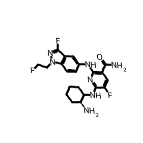 NC(=O)c1cc(F)c(NC2CCCC[C@@H]2N)nc1Nc1ccc2c(c1)c(F)nn2CCF